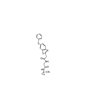 N#CC1(NC(=O)CNC(=O)Cc2nc3ccc(Sc4ccccc4)cc3s2)CC1